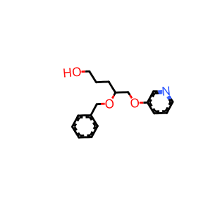 OCCCC(COc1cccnc1)OCc1ccccc1